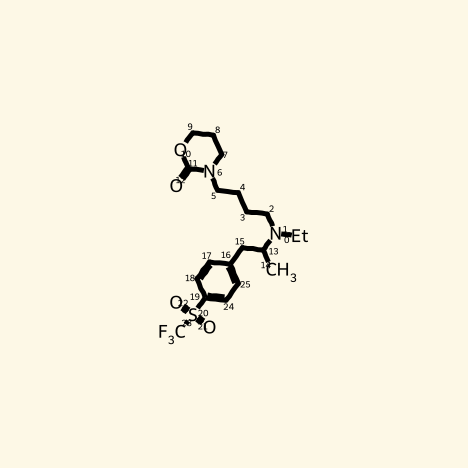 CCN(CCCCN1CCCOC1=O)C(C)Cc1ccc(S(=O)(=O)C(F)(F)F)cc1